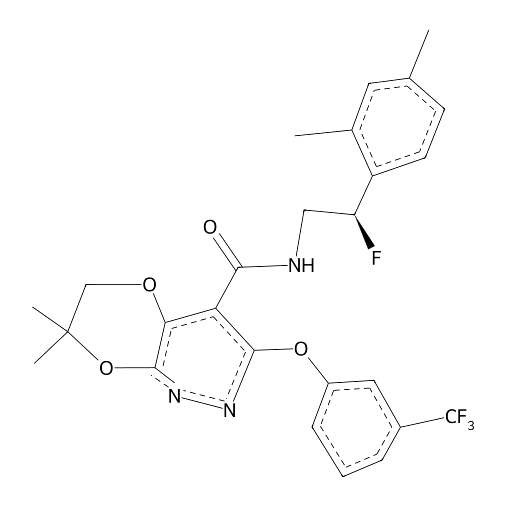 Cc1ccc([C@@H](F)CNC(=O)c2c(Oc3cccc(C(F)(F)F)c3)nnc3c2OCC(C)(C)O3)c(C)c1